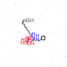 CCCCCCCC/C=C\CCCCCCCC(=O)N[C@H](CNCc1ccccc1)CO[PH](O)(O)O